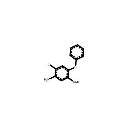 COc1cc(N)c(Cl)cc1Oc1ccccc1